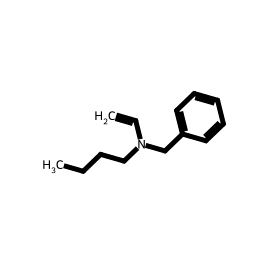 C=CN(CCCC)Cc1ccccc1